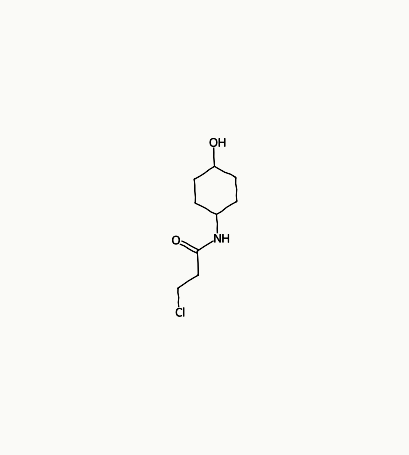 O=C(CCCl)NC1CCC(O)CC1